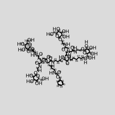 O=C(CN(CC(=O)NCCO[C@H]1O[C@H](CO)[C@@H](O)[C@H](O)[C@@H]1O)CC(=O)N[C@@H](CCCCNC(=O)OCc1ccccc1)C(=O)NCCCC[C@H](NC(=O)CN(CC(=O)NCCO[C@H]1O[C@H](CO)[C@@H](O)[C@H](O)[C@@H]1O)CC(=O)NCCO[C@H]1O[C@H](CO)[C@@H](O)[C@H](O)[C@@H]1O)C(=O)NCCCCCCO)NCCO[C@H]1O[C@H](CO)[C@@H](O)[C@H](O)[C@@H]1O